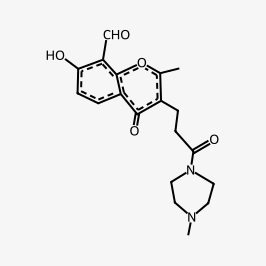 Cc1oc2c(C=O)c(O)ccc2c(=O)c1CCC(=O)N1CCN(C)CC1